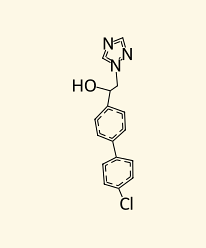 OC(Cn1cncn1)c1ccc(-c2ccc(Cl)cc2)cc1